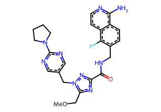 COCc1nc(C(=O)NCc2ccc3c(N)nccc3c2F)nn1Cc1cnc(N2CCCC2)nc1